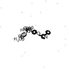 CS(=O)(=O)N1CCN([C@@H](CN(c2ccc(OCc3ccnc(-c4ccccc4)c3)cc2)[SH](=O)=O)C(=O)NO)CC1